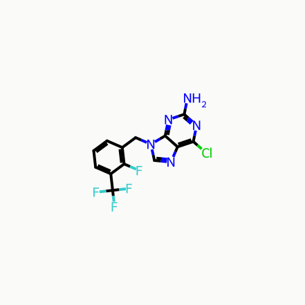 Nc1nc(Cl)c2ncn(Cc3cccc(C(F)(F)F)c3F)c2n1